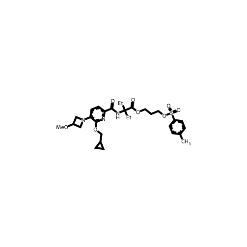 CCC(CC)(NC(=O)c1ccc(N2CC(OC)C2)c(OCC2CC2)n1)C(=O)OCCCOS(=O)(=O)c1ccc(C)cc1